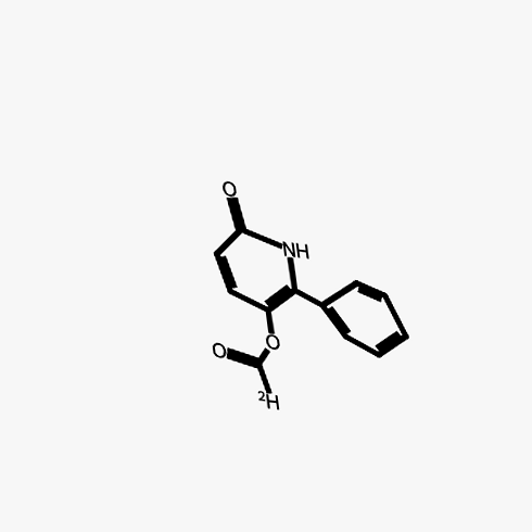 [2H]C(=O)Oc1ccc(=O)[nH]c1-c1ccccc1